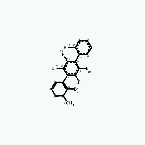 CC1CC=CC(c2c(F)c(Br)c(-c3ccccc3Br)c(F)c2Br)=C1Br